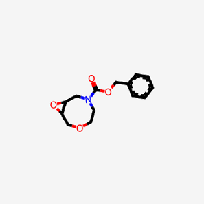 O=C(OCc1ccccc1)N1CCOCC2OC2C1